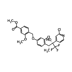 COC(=O)c1ccc(COc2ccc([C@@H](C)[C@@](O)(c3ccnc(Cl)c3)C(F)(F)F)c(Cl)c2)c(OC)c1